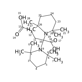 CC1(C)CCCC(C)(C)N1C(CCC(=O)O)(C(=O)O)N1C(C)(C)CCCC1(C)C